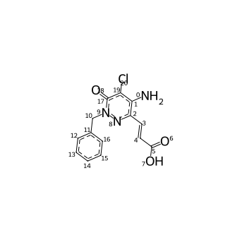 Nc1c(/C=C/C(=O)O)nn(Cc2ccccc2)c(=O)c1Cl